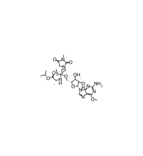 COc1nc(N)nc2c1ncn2[C@@H]1O[C@H](CO[P@@](=O)(N[C@H](C)C(=O)OC(C)C)SC[C@@H]2C(=O)N(C)C(=O)N2C)[C@@H](O)[C@@]1(C)O